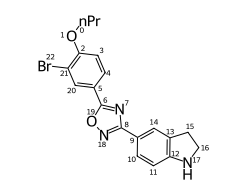 CCCOc1ccc(-c2nc(-c3ccc4c(c3)CCN4)no2)cc1Br